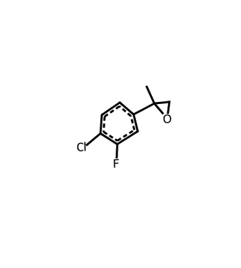 CC1(c2ccc(Cl)c(F)c2)CO1